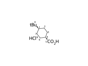 CC(C)(C)[C@H]1CC[C@@H](C(=O)O)CC1.Cl